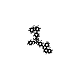 c1ccc(-c2nc(-c3ccc(-c4cc5ccc6ccccc6c5c5ccccc45)cc3)nc(-c3ccc(-c4cccc5oc6ccccc6c45)cc3)n2)cc1